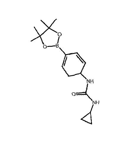 CC1(C)OB(C2=CCC(NC(=O)NC3CC3)C=C2)OC1(C)C